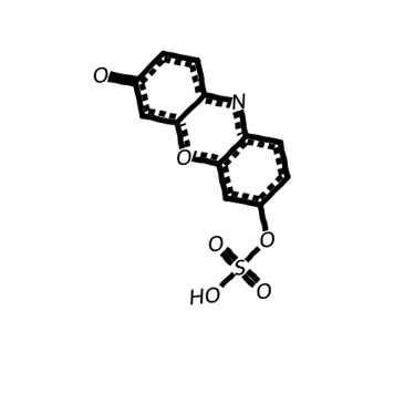 O=c1ccc2nc3ccc(OS(=O)(=O)O)cc3oc-2c1